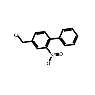 O=[N+]([O-])c1cc(CCl)ccc1-c1ccccc1